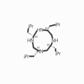 CC(C)C[C@@H]1CN[C@H](CC(C)C)CN[C@H](CC(C)C)CN[C@H](CC(C)C)CN1